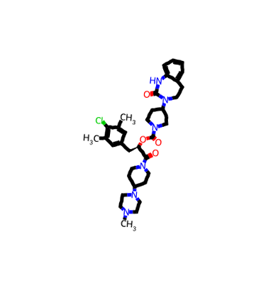 Cc1cc(C[C@@H](OC(=O)N2CCC(N3CCc4ccccc4NC3=O)CC2)C(=O)N2CCC(N3CCN(C)CC3)CC2)cc(C)c1Cl